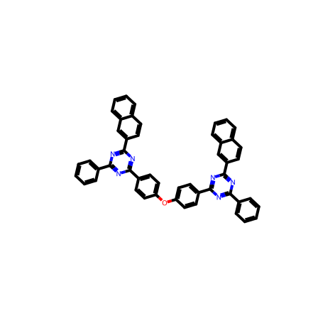 c1ccc(-c2nc(-c3ccc(Oc4ccc(-c5nc(-c6ccccc6)nc(-c6ccc7ccccc7c6)n5)cc4)cc3)nc(-c3ccc4ccccc4c3)n2)cc1